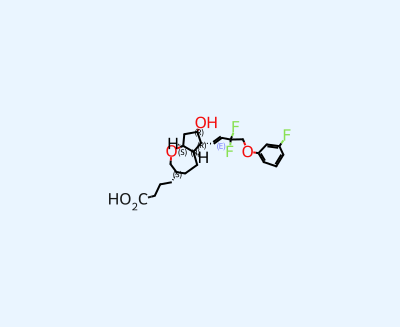 O=C(O)CCC[C@H]1CC[C@@H]2[C@@H](/C=C/C(F)(F)COc3cccc(F)c3)[C@H](O)C[C@@H]2OC1